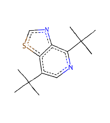 CC(C)(C)c1ncc(C(C)(C)C)c2scnc12